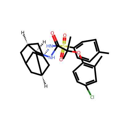 Cc1ccc(S(=O)(=O)N[C@@]23CC4C[C@H](C2)[C@H](NC(=O)C(C)(C)Oc2ccc(Cl)cc2C)[C@@H](C4)C3)cc1